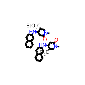 CCOC(=O)c1cn(C)c(=O)cc1Nc1ccc2ccccc2c1.Cn1cc(C(=O)O)c(Nc2ccc3ccccc3c2)cc1=O